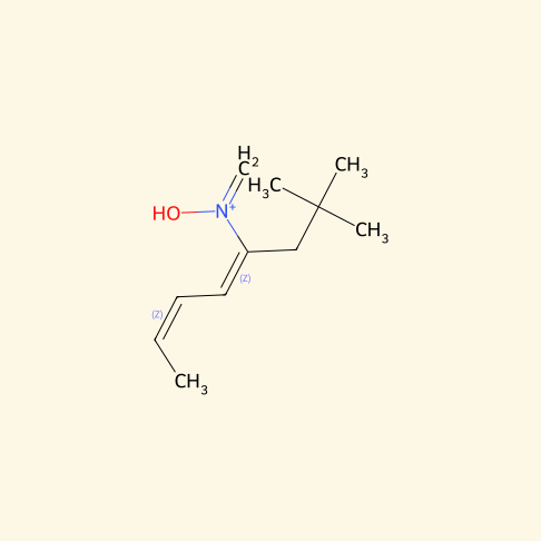 C=[N+](O)/C(=C\C=C/C)CC(C)(C)C